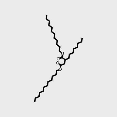 CCCCCCCCCCCCOC(=O)CC(CCCCCCCC)C(=O)OCCCCCCCCCCCC